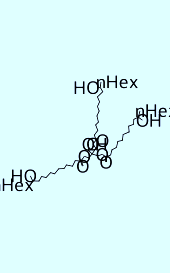 CCCCCCC(O)CCCCCCCCCCC(=O)OCC(CO)(COC(=O)CCCCCCCCCCC(O)CCCCCC)COC(=O)CCCCCCCCCCC(O)CCCCCC